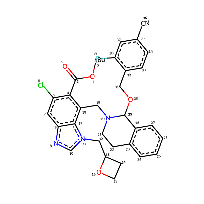 CC(C)(C)OC(=O)c1c(Cl)cc2ncn(CC3CCO3)c2c1CN1CCc2ccccc2C1OCc1ccc(C#N)cc1F